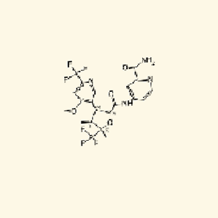 COc1cc(C(F)(F)F)ncc1[C@H]1[C@@H](C(=O)Nc2ccnc(C(N)=O)c2)O[C@](C)(C(F)(F)F)[C@H]1C